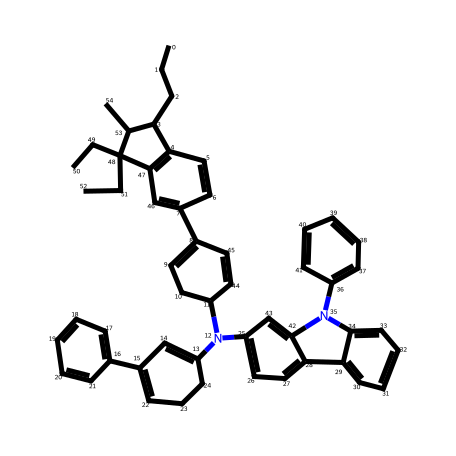 CCCC1c2ccc(C3=CCC(N(C4=CC(c5ccccc5)=CCC4)c4ccc5c6ccccc6n(-c6ccccc6)c5c4)C=C3)cc2C(CC)(CC)C1C